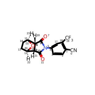 N#Cc1ccc(N2C(=O)[C@@H]3[C@H](C2=O)[C@H]2CC[C@@H]3O2)cc1C(F)(F)F